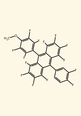 COc1c(F)c(F)c(-c2c3c(F)c(F)c(F)c(F)c3c(-c3ccc(F)c(F)c3)c3c(F)c(F)c(F)c(F)c23)c(F)c1F